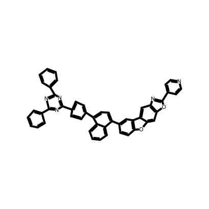 c1ccc(-c2nc(-c3ccccc3)nc(-c3ccc(-c4ccc(-c5ccc6oc7cc8oc(-c9ccncc9)nc8cc7c6c5)c5ccccc45)cc3)n2)cc1